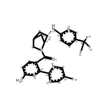 Cc1ccc(C(=O)N2CC3CC2[C@@H](Nc2ccc(C(F)(F)F)cn2)C3)c(-c2ncc(F)cn2)n1